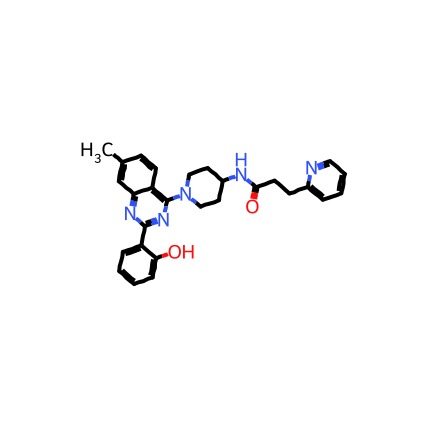 Cc1ccc2c(N3CCC(NC(=O)CCc4ccccn4)CC3)nc(-c3ccccc3O)nc2c1